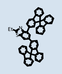 CCc1nc2c(-c3ccc4c(c3)C3(c5ccccc5-c5ccccc53)c3ccccc3-4)cc(-c3ccc4c(c3)C3(c5ccccc5-c5ccccc53)c3ccccc3-4)cc2s1